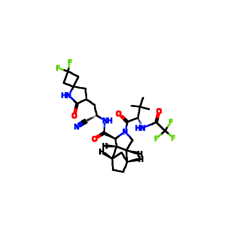 CC(C)(C)[C@H](NC(=O)C(F)(F)F)C(=O)N1C[C@@H]2[C@@H]3CC[C@@H](C3)[C@@H]2[C@H]1C(=O)N[C@H](C#N)CC1CC2(CC(F)(F)C2)NC1=O